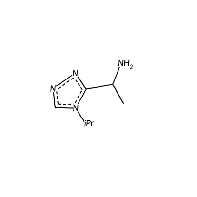 CC(N)c1nncn1C(C)C